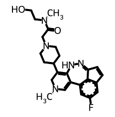 CN1C=C2C(=C(C3CCN(CC(=O)N(C)CCO)CC3)C1)NN=C1C=Cc3cc(F)cc2c31